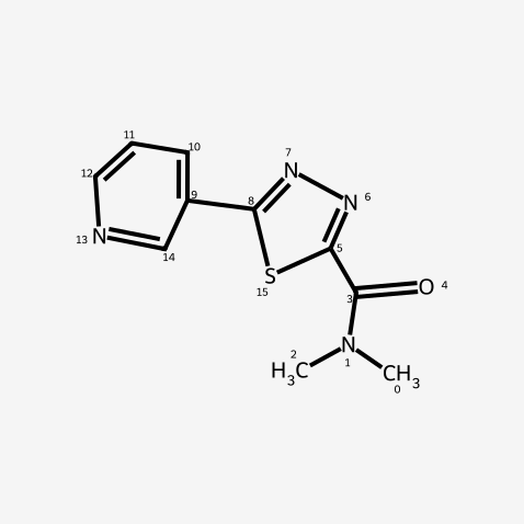 CN(C)C(=O)c1nnc(-c2cccnc2)s1